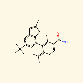 CC1=Cc2cc(C(C)(C)C)cc(C3=C(C)C(C([NH])=O)=CCC3=[Si](C)C)c2C1